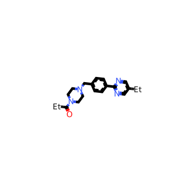 CCC(=O)N1CCN(Cc2ccc(-c3ncc(CC)cn3)cc2)CC1